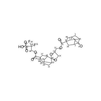 O=C1C2CC3CC1CC(C(=O)OCC1COC4(O1)C1CC5CC4CC(C(=O)OCC(F)(F)S(=O)(=O)O)(C5)C1)(C3)C2